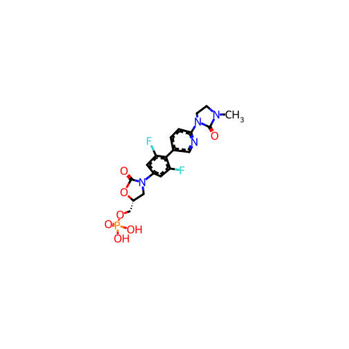 CN1CCN(c2ccc(-c3c(F)cc(N4C[C@H](COP(=O)(O)O)OC4=O)cc3F)cn2)C1=O